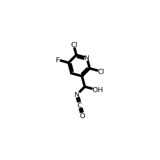 O=C=NC(O)c1cc(F)c(Cl)nc1Cl